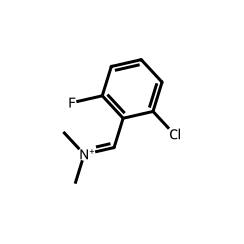 C[N+](C)=Cc1c(F)cccc1Cl